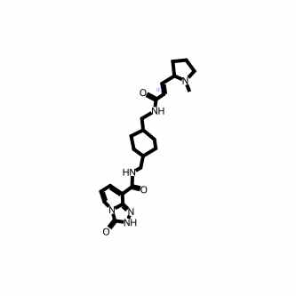 CN1CCCC1/C=C/C(=O)NCC1CCC(CNC(=O)c2cccn3c(=O)[nH]nc23)CC1